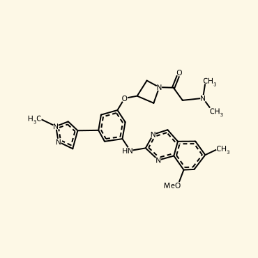 COc1cc(C)cc2cnc(Nc3cc(OC4CN(C(=O)CN(C)C)C4)cc(-c4cnn(C)c4)c3)nc12